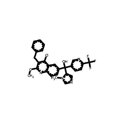 COc1nc2ccc(C(O)(c3ccc(C(F)(F)F)nc3)c3cncn3C)cc2c(Cl)c1Cc1ccccc1